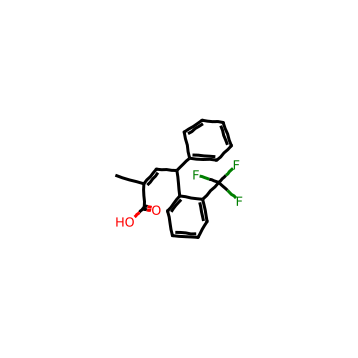 CC(=CC(c1ccccc1)c1ccccc1C(F)(F)F)C(=O)O